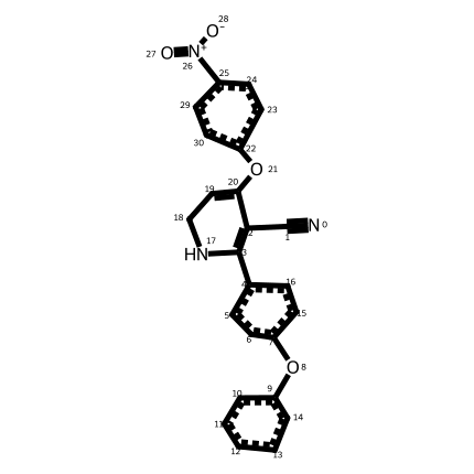 N#CC1=C(c2ccc(Oc3ccccc3)cc2)NCC=C1Oc1ccc([N+](=O)[O-])cc1